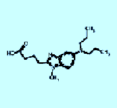 CCCN(CCC)c1ccc2c(c1)nc(CCCC(=O)O)n2C